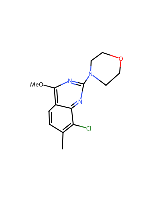 COc1nc(N2CCOCC2)nc2c(Cl)c(C)ccc12